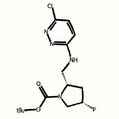 CC(C)(C)OC(=O)N1C[C@@H](F)C[C@H]1CNc1ccc(Cl)nn1